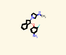 CNC1CCN([C@@H]2Cc3ccccc3[C@H]2Oc2ccc(N)cc2F)C1